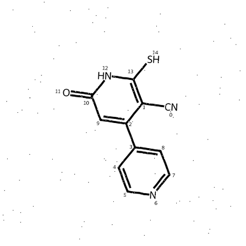 N#Cc1c(-c2ccncc2)cc(=O)[nH]c1S